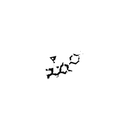 NC1CCC(c2c(F)cc3c(=O)c4c(=O)[nH]sc4n(C4CC4)c3c2F)CC1